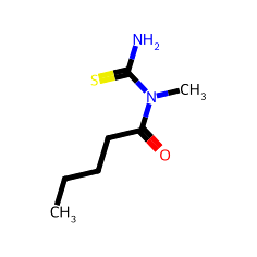 CCCCC(=O)N(C)C(N)=S